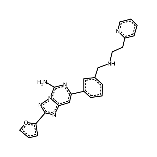 Nc1nc(-c2cccc(CNCCc3ccccn3)c2)cc2nc(-c3ccco3)nn12